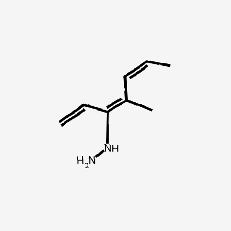 C=C/C(NN)=C(C)\C=C/C